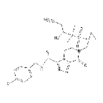 CC(C)(C(O)CC#N)S(=O)(=O)C1(CN2CCn3c(cnc3C(=O)NCc3ccc(Cl)cc3)C2=O)CC1